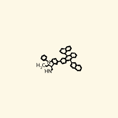 C=CC1C(C=N)c2cc(-c3ccc4c(-c5ccc6ccccc6c5)c5ccccc5c(-c5cccc6ccccc56)c4c3)ccc2N1c1ccccc1